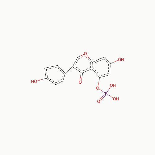 O=c1c(-c2ccc(O)cc2)coc2cc(O)cc(OP(=O)(O)O)c12